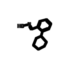 ON=Cc1ccccc1C1CCCCC1